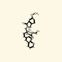 COc1ccc2c(c1)C(=O)N(C[C@@](C)(/C=C\c1ccc3ncccc3c1)NC(=O)NC=O)C2